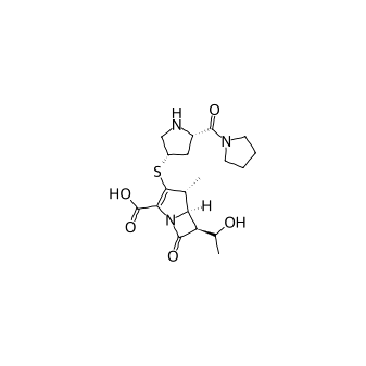 CC(O)[C@H]1C(=O)N2C(C(=O)O)=C(S[C@@H]3CN[C@H](C(=O)N4CCCC4)C3)[C@H](C)[C@@H]12